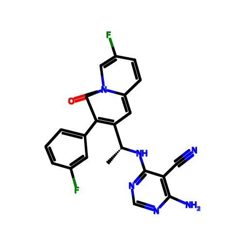 C[C@@H](Nc1ncnc(N)c1C#N)c1cc2ccc(F)cn2c(=O)c1-c1cccc(F)c1